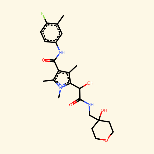 Cc1cc(NC(=O)c2c(C)c(C(O)C(=O)NCC3(O)CCOCC3)n(C)c2C)ccc1F